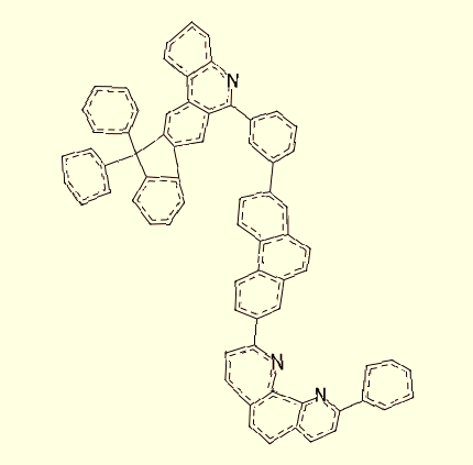 c1ccc(-c2ccc3ccc4ccc(-c5ccc6c(ccc7cc(-c8cccc(-c9nc%10ccccc%10c%10cc%11c(cc9%10)-c9ccccc9C%11(c9ccccc9)c9ccccc9)c8)ccc76)c5)nc4c3n2)cc1